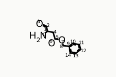 NC(C=O)CC(=O)OCc1ccccc1